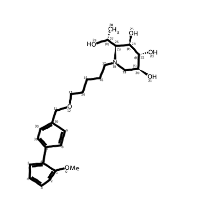 COc1ccccc1-c1ccc(COCCCCCN2C[C@H](O)[C@@H](O)[C@H](O)[C@@H]2[C@@H](C)O)cc1